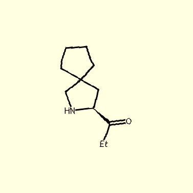 CCC(=O)[C@@H]1CC2(CCCC2)CN1